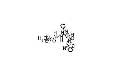 CS(=O)(=O)OCC(=O)NCCNc1nc(-c2ccccc2)nc2[nH]c(C(=O)N3CCC(C#N)(c4ccccc4Cl)CC3)cc12